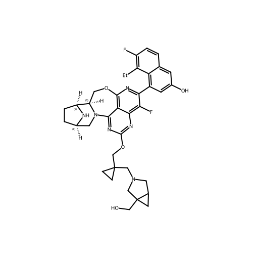 CCc1c(F)ccc2cc(O)cc(-c3nc4c5c(nc(OCC6(CN7CC8CC8(CO)C7)CC6)nc5c3F)N3C[C@H]5CC[C@H](N5)[C@H]3CO4)c12